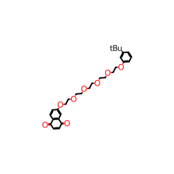 CC(C)(C)c1cccc(OCCOCCOCCOCCOCCOc2ccc3c(c2)C(=O)C=CC3=O)c1